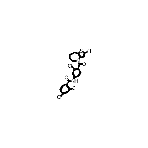 O=C(Nc1ccc(C(=O)N2CCCCc3sc(Cl)cc32)c(Cl)c1)c1ccc(Cl)cc1Cl